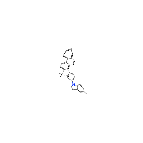 Cc1ccc2c(c1)CCN2c1ccc2c(c1)C(C)(C)c1ccc3c(ccc4ccccc43)c1-2